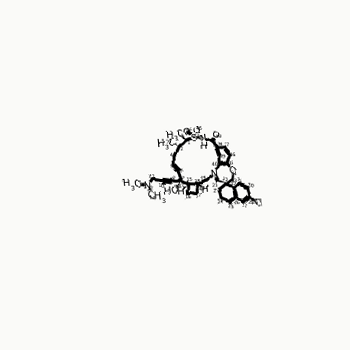 C[C@@H]1[C@@H](C)C/C=C/[C@](O)(C#CCN(C)C)[C@@H]2CC[C@H]2CN2C[C@@]3(CCCc4cc(Cl)ccc43)COc3ccc(cc32)C(=O)NS1(=O)=O